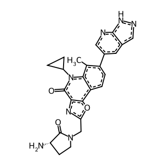 Cc1c(-c2cnc3[nH]ncc3c2)ccc2c3oc(CN4CC[C@H](N)C4=O)nc3c(=O)n(C3CC3)c12